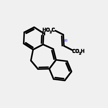 C1=c2ccccc2=Cc2ncccc2C1.O=C(O)/C=C/C(=O)O